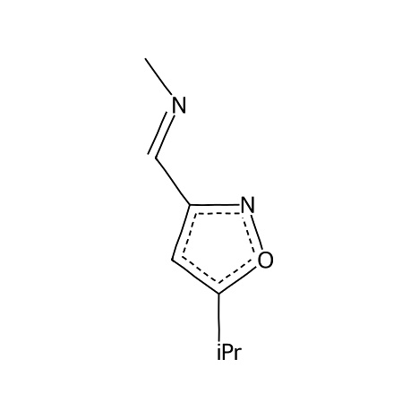 C/N=C/c1cc(C(C)C)on1